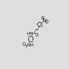 CC(=O)Nc1ccc(NC(=O)/C=C/c2ccc([N+](=O)[O-])s2)cc1